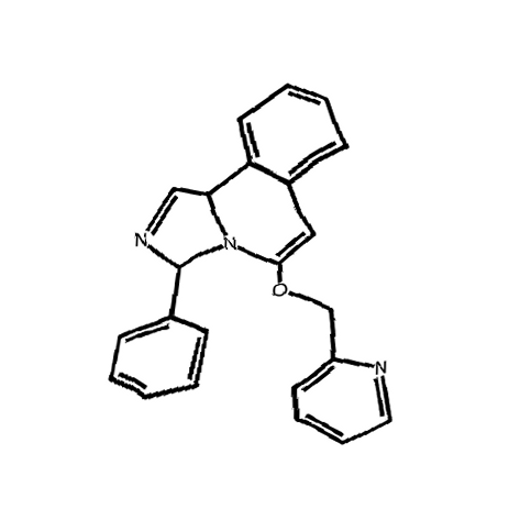 C1=NC(c2ccccc2)N2C(OCc3ccccn3)=Cc3ccccc3C12